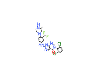 CC1CN(c2ccc(Nc3ncc4c(n3)N(C)CN(c3c(Cl)cccc3Cl)C4=O)cc2C(F)F)CCN1